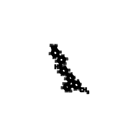 Cc1ccc2c3ccc(-c4ccc(Nc5cccc(-c6ccc7c(c6)CC7)c5)cc4)cc3c3ccccc3c2c1